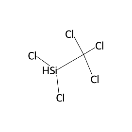 Cl[SiH](Cl)C(Cl)(Cl)Cl